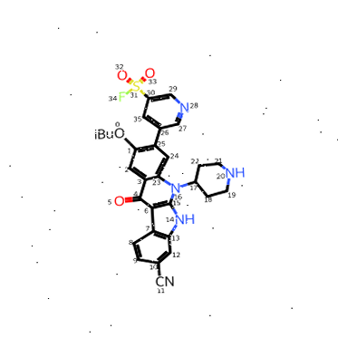 CC(C)COc1cc2c(=O)c3c4ccc(C#N)cc4[nH]c3n(C3CCNCC3)c2cc1-c1cncc(S(=O)(=O)F)c1